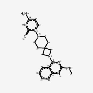 CNc1nc(N2CC3(CCN(n4ccc(N)nc4=O)CC3)C2)c2ccccc2n1